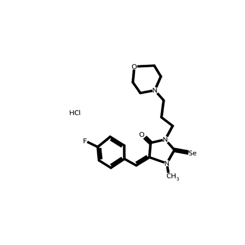 CN1C(=[Se])N(CCCN2CCOCC2)C(=O)C1=Cc1ccc(F)cc1.Cl